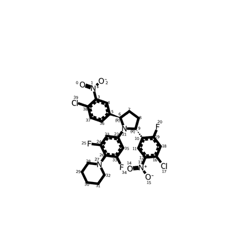 O=[N+]([O-])c1cc([C@H]2CC[C@H](c3cc([N+](=O)[O-])c(Cl)cc3F)N2c2cc(F)c(N3CCCCC3)c(F)c2)ccc1Cl